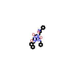 O=C1CN2C(=O)CN(Cc3cc(-c4ccccc4)no3)N(C(=O)NCc3ccccc3)C2CN1Cc1cccc2ccccc12